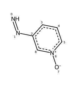 N=Nc1ccc[n+]([O-])c1